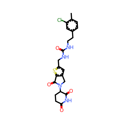 Cc1ccc(CCNC(=O)NCc2cc3c(s2)C(=O)N(C2CCC(=O)NC2=O)C3)cc1Cl